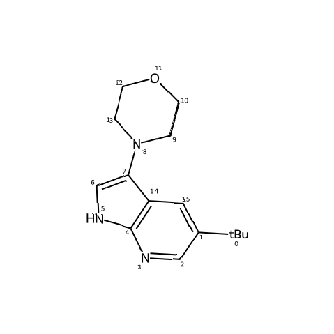 CC(C)(C)c1cnc2[nH]cc(N3CCOCC3)c2c1